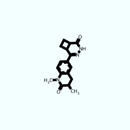 CC1Cc2cc(C3=NNC(=O)C4CCC34)ccc2N(C)C1=O